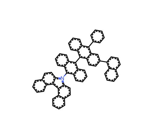 c1ccc(-c2c3ccccc3c(-c3c4ccccc4c(-n4c5ccc6ccccc6c5c5c6ccccc6ccc54)c4ccccc34)c3ccc(-c4cccc5ccccc45)cc23)cc1